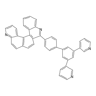 c1cncc(-c2cc(-c3ccc(-c4nc5ccccc5c5c4ccc4ccc6ncccc6c45)cc3)cc(-c3cccnc3)c2)c1